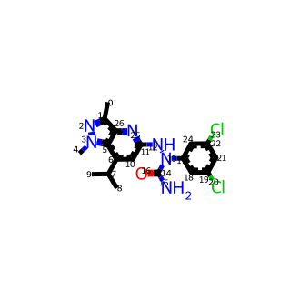 Cc1nn(C)c2c(C(C)C)cc(NN(C(N)=O)c3cc(Cl)cc(Cl)c3)nc12